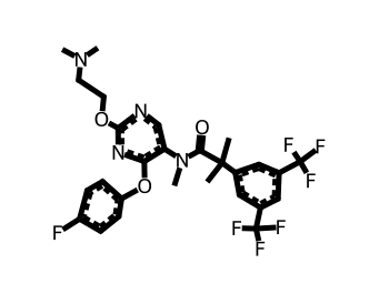 CN(C)CCOc1ncc(N(C)C(=O)C(C)(C)c2cc(C(F)(F)F)cc(C(F)(F)F)c2)c(Oc2ccc(F)cc2)n1